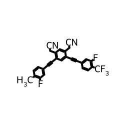 Cc1ccc(C#Cc2cc(C#Cc3ccc(C(F)(F)F)c(F)c3)c(CC#N)cc2CC#N)cc1F